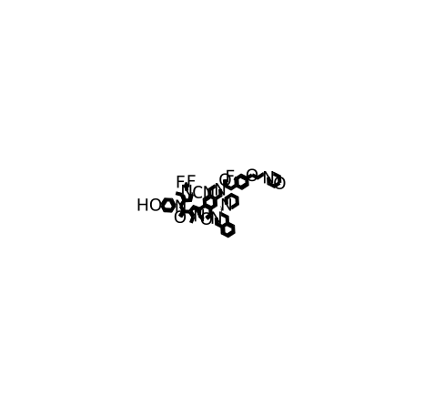 Cc1c(C(=O)N(c2ccc(O)cc2)c2cc(C#N)n(C(F)F)c2C)cc(-c2cc3c(cc2C(=O)N2Cc4ccccc4C[C@H]2CN2CCCCC2)CN(C(=O)Cc2ccc(OCCN4CCOCC4)cc2F)CC3)n1C